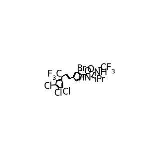 CC(C)C(NC(=O)c1ccc(/C=C/C(c2cc(Cl)c(Cl)c(Cl)c2)C(F)(F)F)cc1Br)C(=O)NCC(F)(F)F